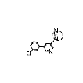 Clc1cccc(-c2cncc(N3CCN4CCCC3CC4)c2)c1